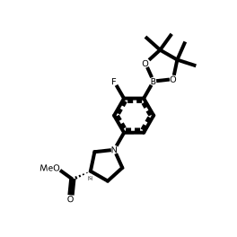 COC(=O)[C@H]1CCN(c2ccc(B3OC(C)(C)C(C)(C)O3)c(F)c2)C1